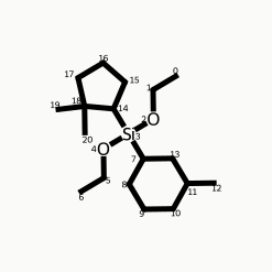 CCO[Si](OCC)(C1CCCC(C)C1)C1CCCC1(C)C